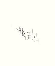 C=CC(=O)N1CCn2c(nnc2-c2cc(F)c(-c3ccc(F)c4sc(N)c(C#N)c34)c(Cl)c2OC)C1